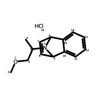 COCC(C)N1C2C=CC1c1ccccc12.Cl